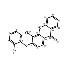 CCc1ccccc1Sc1ccc2c(=O)c3ccccc3sc2c1Cl